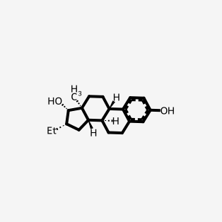 CC[C@H]1C[C@H]2[C@@H]3CCc4cc(O)ccc4[C@H]3CC[C@]2(C)[C@H]1O